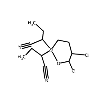 CCC(C#N)[Si]1(C(C#N)CC)CCC(Cl)C(Cl)O1